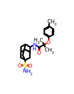 Cc1ccc(OC(C)(C)C(=O)NC2C3CC4CC2CC(S(N)(=O)=O)(C4)C3)cc1